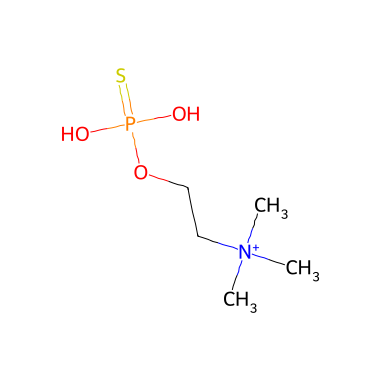 C[N+](C)(C)CCOP(O)(O)=S